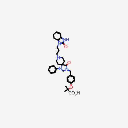 CC(C)(Oc1ccc(CN2CN(c3ccccc3)C3(CCN(CCCn4c5c([nH]c4=O)C=CCC5)CC3)C2=O)cc1)C(=O)O